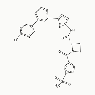 CS(=O)(=O)n1ccc(C(=O)N2CC[C@H]2C(=O)Nc2nc(-c3cccc(-c4cnc(Cl)nc4)c3)cs2)c1